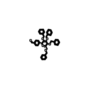 O=Cc1ccc([C@@H]2O[C@H](COCc3ccccc3)[C@@H](OCc3ccccc3)[C@H](OCc3ccccc3)[C@H]2OCc2ccccc2)cc1